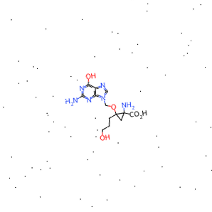 Nc1nc(O)c2ncn(COC3(CCCO)CC3(N)C(=O)O)c2n1